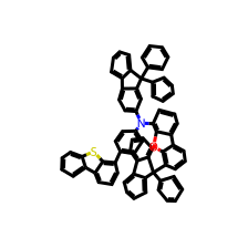 c1ccc(C2(c3ccccc3)c3ccccc3-c3ccc(N(c4ccc(-c5cccc6c5sc5ccccc56)cc4)c4cccc5c4oc4c(C6(c7ccccc7)c7ccccc7-c7ccccc76)cccc45)cc32)cc1